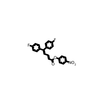 O=C(C=CC=C(c1ccc(F)cc1)c1ccc(F)cc1)Oc1ccc([N+](=O)[O-])cc1